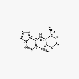 N#Cc1cnn2cccc2c1N[C@@H]1CCCC[C@H]1N